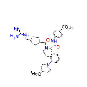 COC1CCN(c2cccc3c2CCN(C(=O)C2CCC(CNC(=N)N)CC2)C3C(=O)Nc2ccc(C(=O)O)cc2)CC1